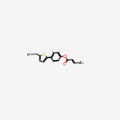 CCCC/C=C/C(=O)Oc1ccc(-c2ccc(CCCCC)s2)c(F)c1